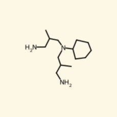 CC(CN)CN(CC(C)CN)C1CCCCC1